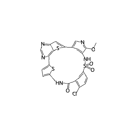 COc1ncc2cc1NS(=O)(=O)c1ccc(Cl)c(c1)C(=O)NCc1ccc(s1)-c1ncnc3cc-2sc13